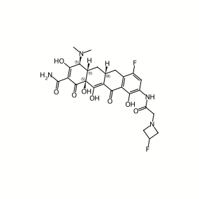 CN(C)[C@@H]1C(O)=C(C(N)=O)C(=O)[C@@]2(O)C(O)=C3C(=O)c4c(O)c(NC(=O)CN5CC(F)C5)cc(F)c4C[C@H]3C[C@@H]12